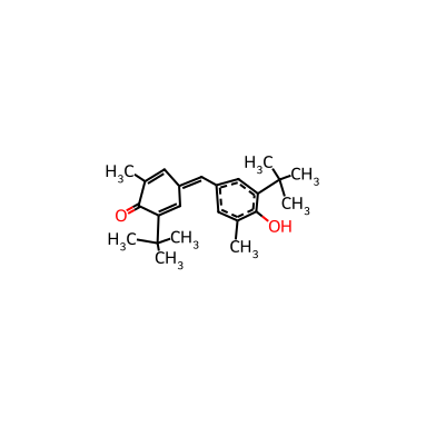 CC1=CC(=Cc2cc(C)c(O)c(C(C)(C)C)c2)C=C(C(C)(C)C)C1=O